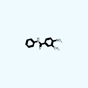 Cc1cc(C(=S)Nc2ccccc2)ccc1[N+](=O)[O-]